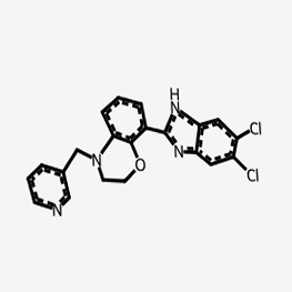 Clc1cc2nc(-c3cccc4c3OCCN4Cc3cccnc3)[nH]c2cc1Cl